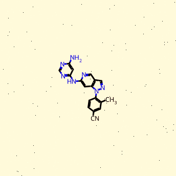 Cc1cc(C#N)ccc1-n1ncc2cnc(Nc3cc(N)ncn3)cc21